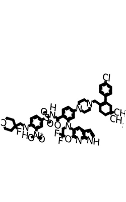 CC1(C)CCC(CN2CCN(c3ccc(C(=O)NS(=O)(=O)c4ccc(NCC5(F)CCOCC5)c([N+](=O)[O-])c4)c(N4CC(F)(F)Oc5nc6[nH]ccc6cc54)c3)CC2)=C(c2ccc(Cl)cc2)C1